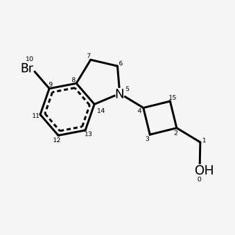 OCC1CC(N2CCc3c(Br)cccc32)C1